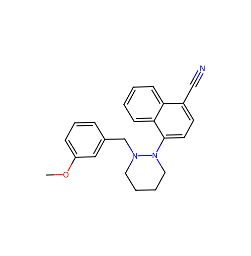 COc1cccc(CN2CCCCN2c2ccc(C#N)c3ccccc23)c1